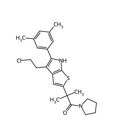 Cc1cc(C)cc(-c2[nH]c3sc(C(C)(C)C(=O)N4CCCC4)cc3c2CCCl)c1